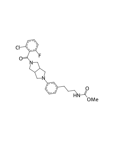 COC(=O)NCCCc1cccc(N2CC3CN(C(=O)c4c(F)cccc4Cl)CC3C2)c1